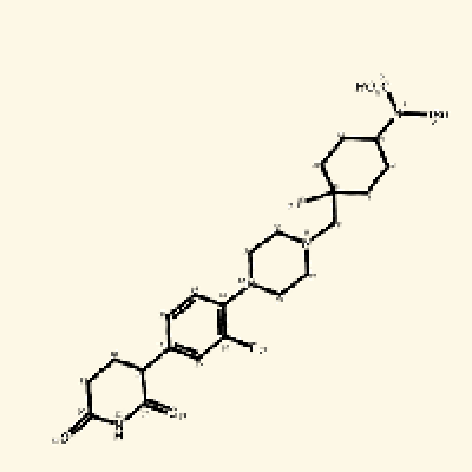 CC(C)(C)N(C(=O)O)C1CCC(F)(CN2CCN(c3ccc(C4CCC(=O)NC4=O)cc3F)CC2)CC1